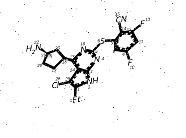 CCc1[nH]c2nc(Sc3cc(F)cc(F)c3C#N)nc(C3CC[C@@H](N)C3)c2c1Cl